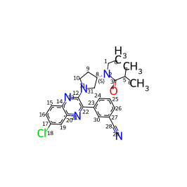 CCN(C(=O)C(C)C)[C@H]1CCN(c2nc3ccc(Cl)cc3nc2-c2cccc(C#N)c2)C1